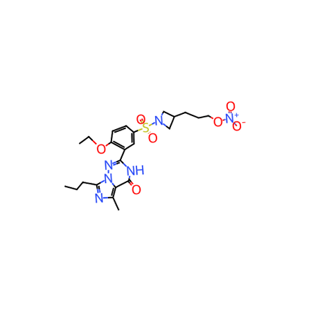 CCCc1nc(C)c2c(=O)[nH]c(-c3cc(S(=O)(=O)N4CC(CCCO[N+](=O)[O-])C4)ccc3OCC)nn12